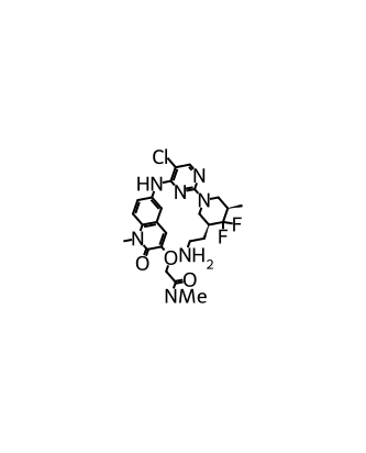 CNC(=O)COc1cc2cc(Nc3nc(N4C[C@H](CCN)C(F)(F)[C@H](C)C4)ncc3Cl)ccc2n(C)c1=O